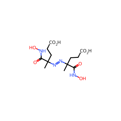 CC(CCC(=O)O)(N=NC(C)(CCC(=O)O)C(=O)NO)C(=O)NO